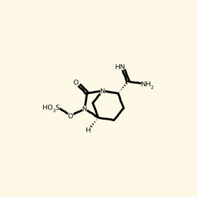 N=C(N)[C@@H]1CC[C@@H]2CN1C(=O)N2OS(=O)(=O)O